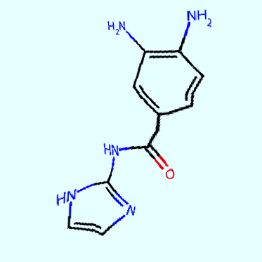 Nc1ccc(C(=O)Nc2ncc[nH]2)cc1N